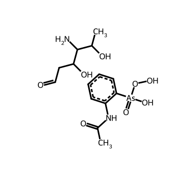 CC(=O)Nc1ccccc1[As](=O)(O)OO.CC(O)C(N)C(O)CC=O